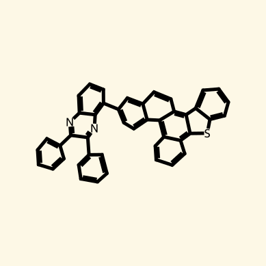 c1ccc(-c2nc3cccc(-c4ccc5c(ccc6c5c5ccccc5c5sc7ccccc7c65)c4)c3nc2-c2ccccc2)cc1